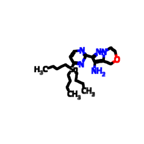 CCC[CH2][Sn]([CH2]CCC)([CH2]CCC)[c]1ccnc(-c2nn3c(c2N)COCC3)n1